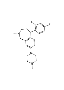 CN1CCN(c2ccc3c(c2)CN(C)CCC3c2ccc(F)cc2F)CC1